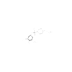 CCCCSC1CCC(C(F)(F)Oc2cc(C)c(O)c(C(C)(C)C)c2)CC1